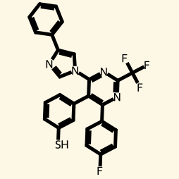 Fc1ccc(-c2nc(C(F)(F)F)nc(-n3cnc(-c4ccccc4)c3)c2-c2cccc(S)c2)cc1